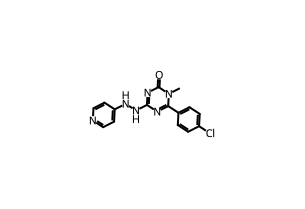 Cn1c(-c2ccc(Cl)cc2)nc(NNc2ccncc2)nc1=O